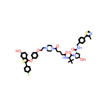 Cc1ncsc1-c1ccc(CNC(=O)[C@@H]2C[C@@H](O)CN2C(=O)C(NC(=O)CCCC(=O)N2CCN(CCOc3ccc(Oc4c(-c5ccc(F)cc5)sc5cc(O)ccc45)cc3)CC2)C(C)(C)C)cc1